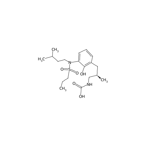 CCCS(=O)(=O)N(CCC(C)C)c1cccc(C[C@@H](C)CNC(=O)O)c1O